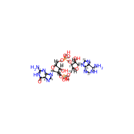 Nc1nc2c(ncn2[C@@H]2O[C@@H]3COP(=O)(O)O[C@H]4[C@@H](O)[C@H](n5cnc6c5N=CNC6N)O[C@@H]4COP(=O)(O)O[C@@H]2[C@@H]3O)c(=O)[nH]1